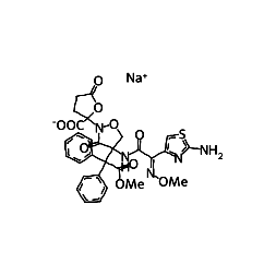 CON=C(C(=O)NC1(C(C(=O)OC)(c2ccccc2)c2ccccc2)CON(C2(C(=O)[O-])CCC(=O)O2)C1=O)c1csc(N)n1.[Na+]